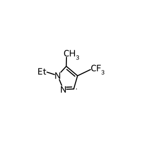 CCn1n[c]c(C(F)(F)F)c1C